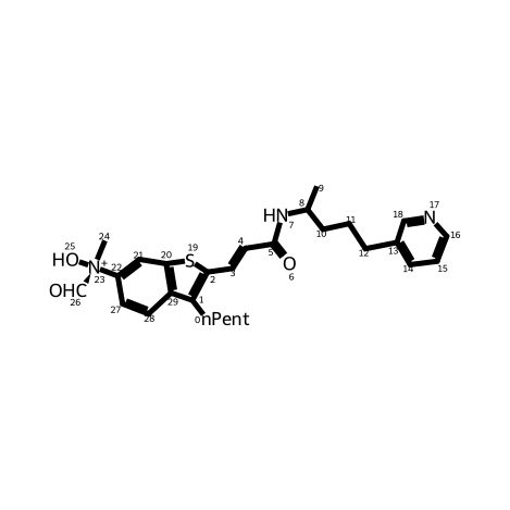 CCCCCc1c(/C=C/C(=O)NC(C)CCCc2cccnc2)sc2cc([N@@+](C)(O)C=O)ccc12